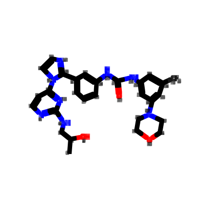 CC(O)CNc1nccc(-n2ccnc2-c2cccc(NC(=O)Nc3cc(N4CCOCC4)cc(C(F)(F)F)c3)c2)n1